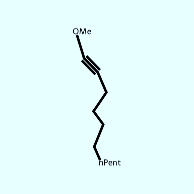 CCCCCCCCCC#COC